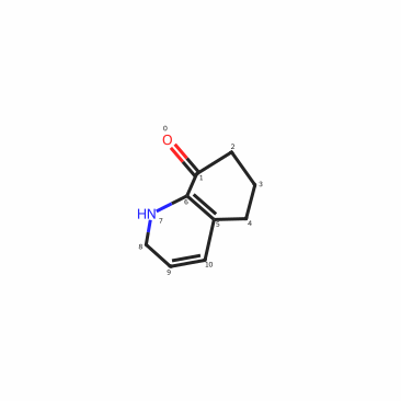 O=C1CCCC2=C1NCC=C2